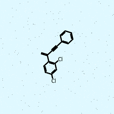 C=C(C#Cc1ccccc1)c1ccc(Cl)cc1Cl